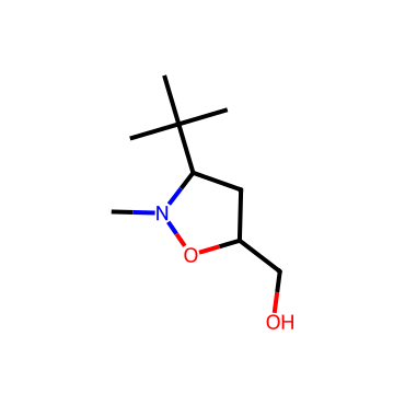 CN1OC(CO)CC1C(C)(C)C